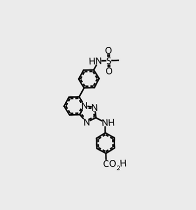 CS(=O)(=O)Nc1ccc(-c2cccc3nc(Nc4ccc(C(=O)O)cc4)nn23)cc1